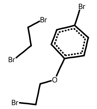 BrCCBr.BrCCOc1ccc(Br)cc1